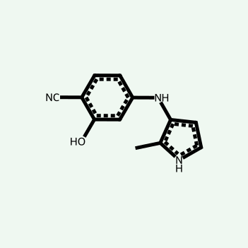 Cc1[nH]ccc1Nc1ccc(C#N)c(O)c1